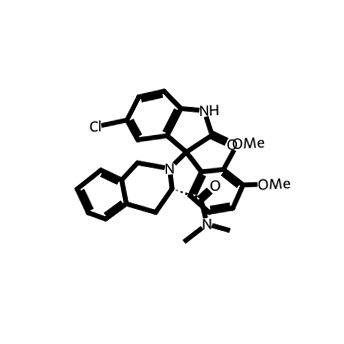 COc1cccc(C2(N3Cc4ccccc4C[C@H]3C(=O)N(C)C)C(=O)Nc3ccc(Cl)cc32)c1OC